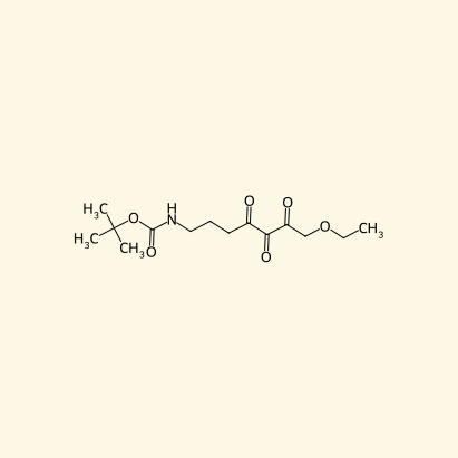 CCOCC(=O)C(=O)C(=O)CCCNC(=O)OC(C)(C)C